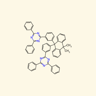 CC1(C)c2ccccc2C(c2cccc(-c3nc(-c4ccccc4)nc(-c4ccccc4)n3)c2)(c2cccc(-c3nc(-c4ccccc4)nc(-c4ccccc4)n3)c2)c2ccccc21